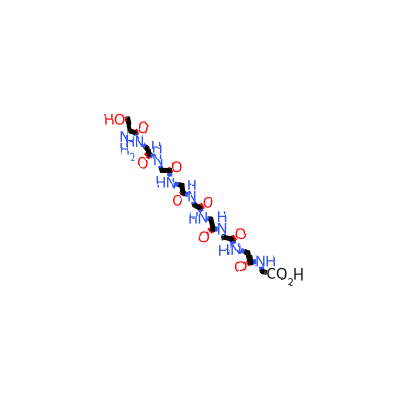 NC(CO)C(=O)NCC(=O)NCC(=O)NCC(=O)NCC(=O)NCC(=O)NCC(=O)NCC(=O)NCC(=O)O